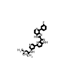 C=C(CN(C)C)Nc1cncc(-c2ccc3[nH]nc(-c4nc5c(-c6cccc(F)c6)nccc5[nH]4)c3n2)c1